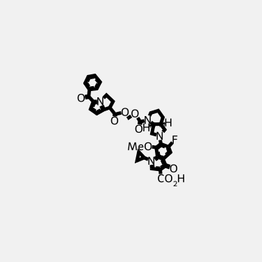 COc1c(N2C[C@H]3CCCN(C(=O)OCOC(=O)C4CCn5c(C(=O)c6ccccc6)ccc54)[C@H]3C2)c(F)cc2c(=O)c(C(=O)O)cn(C3CC3)c12